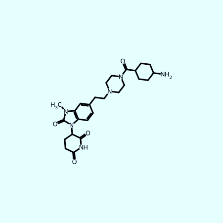 Cn1c(=O)n(C2CCC(=O)NC2=O)c2ccc(CCN3CCN(C(=O)C4CCC(N)CC4)CC3)cc21